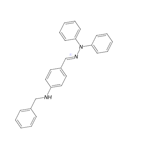 C(=N\N(c1ccccc1)c1ccccc1)/c1ccc(NCc2ccccc2)cc1